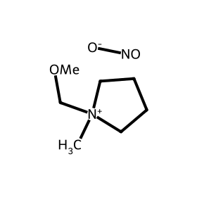 COC[N+]1(C)CCCC1.O=N[O-]